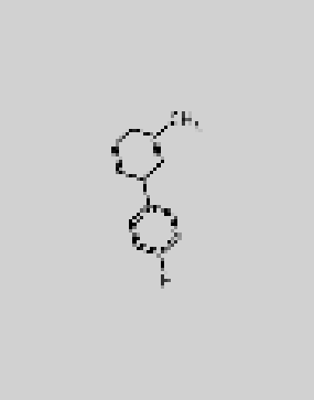 CC1=CC(c2ccc(F)cc2)C=CC1